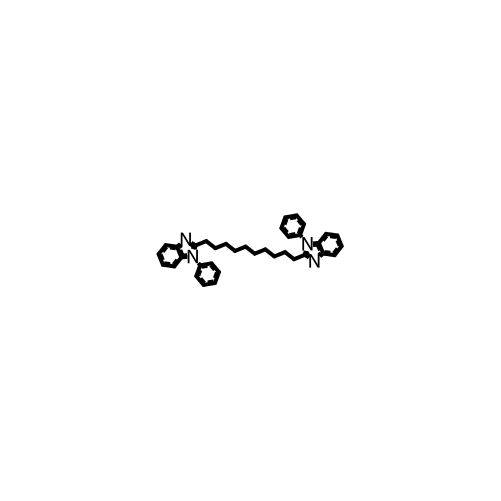 c1ccc(-n2c(CCCCCCCCCCc3nc4ccccc4n3-c3ccccc3)nc3ccccc32)cc1